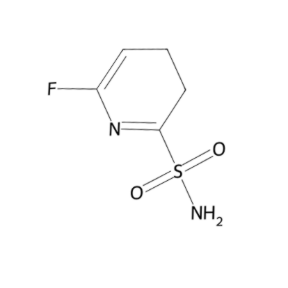 NS(=O)(=O)C1=NC(F)=CCC1